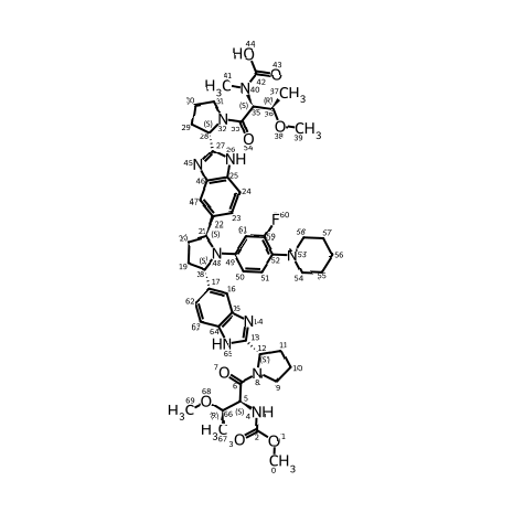 COC(=O)N[C@H](C(=O)N1CCC[C@H]1c1nc2cc([C@@H]3CC[C@@H](c4ccc5[nH]c([C@@H]6CCCN6C(=O)[C@H]([C@@H](C)OC)N(C)C(=O)O)nc5c4)N3c3ccc(N4CCCCC4)c(F)c3)ccc2[nH]1)[C@@H](C)OC